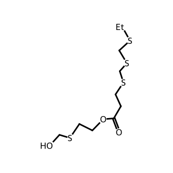 CCSCSCSCCC(=O)OCCSCO